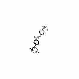 CC1(C)CN(c2ccc(NC[C@H]3CC[C@H](N)CC3)cc2)CC(C)(C)O1